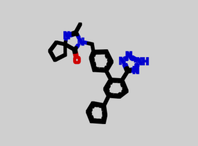 CC1=NC2(CCCC2)C(=O)N1Cc1ccc(-c2cc(-c3ccccc3)ccc2-c2nn[nH]n2)cc1